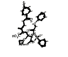 CCCCCC(SS(=O)(=O)c1ccccc1)C(NC(=O)COc1ccccc1)C(CC(C(=O)O)C(C)=CCC(=O)c1ccc(Br)cc1)N1CCC1